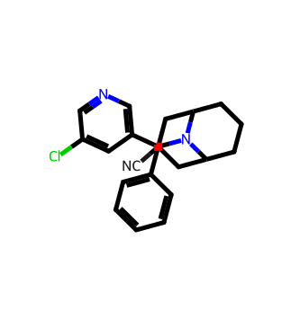 N#CC1(c2cncc(Cl)c2)CC2CCCC(C1)N2Cc1ccccc1